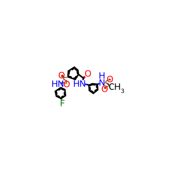 CS(=O)(=O)Nc1cccc(NC(=O)c2cccc(S(=O)(=O)Nc3ccc(F)cc3)c2)c1